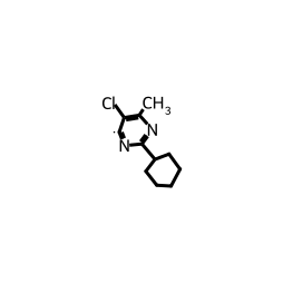 Cc1nc(C2CCCCC2)n[c]c1Cl